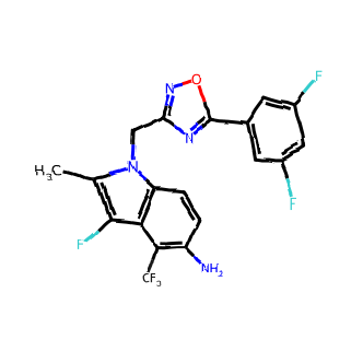 Cc1c(F)c2c(C(F)(F)F)c(N)ccc2n1Cc1noc(-c2cc(F)cc(F)c2)n1